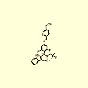 C[C@@H]1Cc2c([nH]c3ccccc23)[C@@H](c2c(F)cc(OCc3ccc(CO)cn3)cc2F)N1CC(C)(C)F